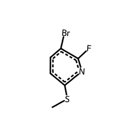 CSc1ccc(Br)c(F)n1